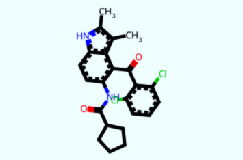 Cc1[nH]c2ccc(NC(=O)C3CCCC3)c(C(=O)c3c(Cl)cccc3Cl)c2c1C